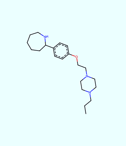 CCCN1CCN(CCOc2ccc(C3CCCCCN3)cc2)CC1